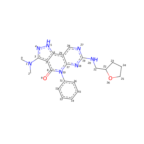 CN(C)c1n[nH]c2c1c(=O)n(-c1ccccc1)c1nc(NCC3CCCO3)ncc21